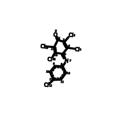 O=C1C(Cl)=C(Cl)C(=Nc2ccc(Cl)cc2)C(Cl)=C1Cl